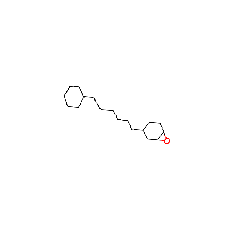 C(CCCC1CCC2OC2C1)CCC1CCCCC1